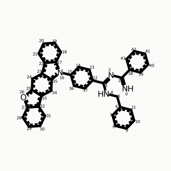 N=C(/N=C(\NCc1ccccc1)c1ccc(-n2c3ccccc3c3cc4oc5ccccc5c4cc32)cc1)c1ccccc1